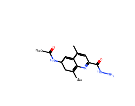 COC(=O)NC1C=c2c(C)cc(C(=O)NN)nc2=C(C(C)(C)C)C1